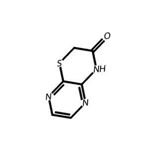 O=C1CSc2nccnc2N1